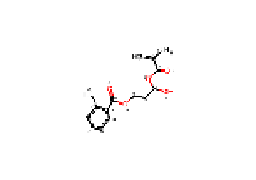 C=C(C)C(=O)OC(O)CCOC(=O)c1ccccc1C